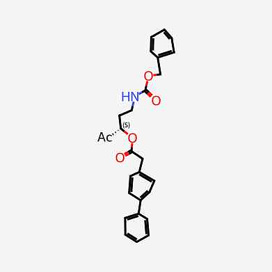 CC(=O)[C@H](CCNC(=O)OCc1ccccc1)OC(=O)Cc1ccc(-c2ccccc2)cc1